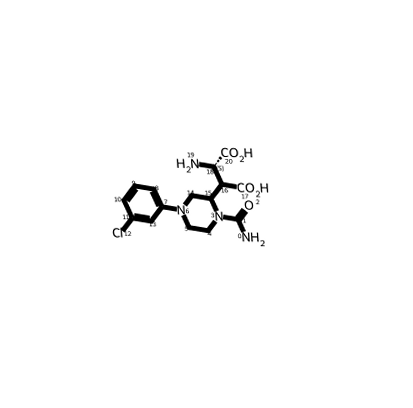 NC(=O)N1CCN(c2cccc(Cl)c2)CC1C(C(=O)O)[C@H](N)C(=O)O